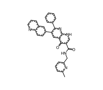 Cc1cccc(CNC(=O)c2c[nH]c3nc(-c4ccccc4)c(-c4ccc5ncccc5c4)cc3c2=O)n1